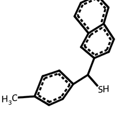 Cc1ccc(C(S)c2ccc3ccccc3c2)cc1